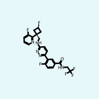 O=C(NCC(F)(F)F)c1ccc(F)c(-c2ccc(NC[C@]3(c4ncccc4F)C[C@H](F)C3)nn2)c1